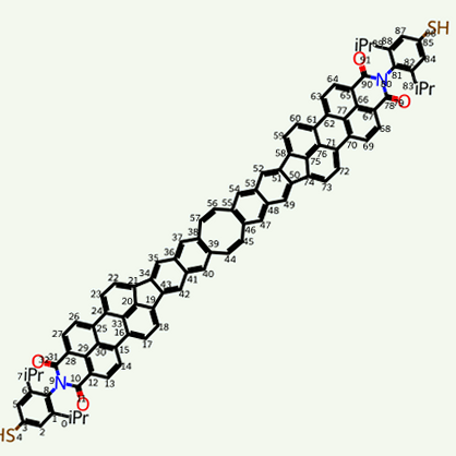 CC(C)c1cc(S)cc(C(C)C)c1N1C(=O)c2ccc3c4ccc5c6c(ccc(c7ccc(c2c37)C1=O)c64)-c1cc2cc3c(cc2cc1-5)/C=C\c1cc2cc4c(cc2cc1/C=C\3)-c1ccc2c3ccc5c6c(ccc(c7ccc-4c1c72)c63)C(=O)N(c1c(C(C)C)cc(S)cc1C(C)C)C5=O